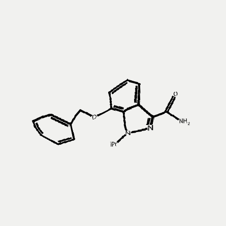 CC(C)n1nc(C(N)=O)c2cccc(OCc3ccccc3)c21